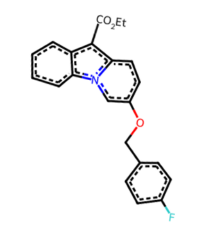 CCOC(=O)c1c2ccccc2n2cc(OCc3ccc(F)cc3)ccc12